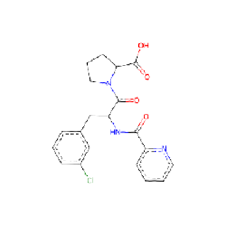 O=C(NC(Cc1cccc(Cl)c1)C(=O)N1CCCC1C(=O)O)c1ccccn1